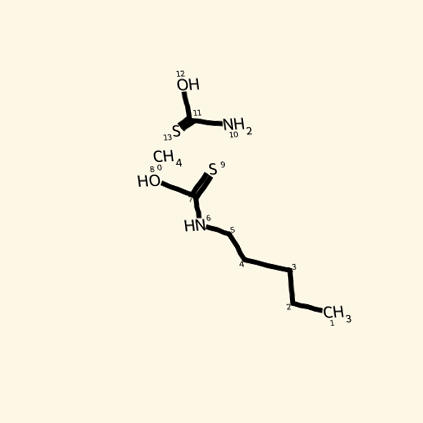 C.CCCCCNC(O)=S.NC(O)=S